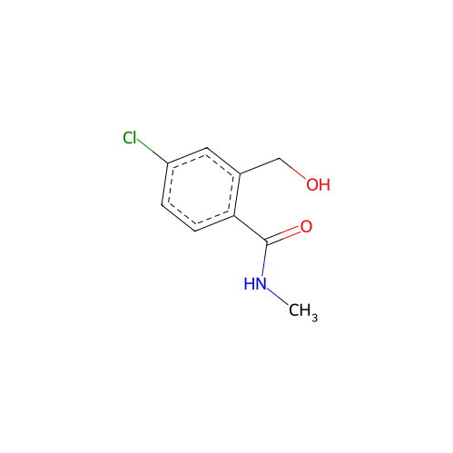 CNC(=O)c1ccc(Cl)cc1CO